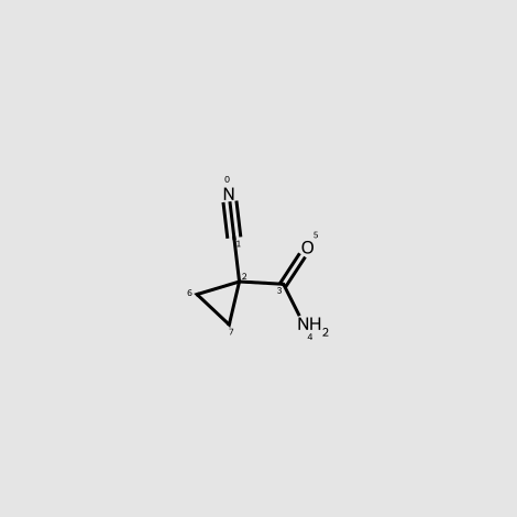 N#CC1(C(N)=O)CC1